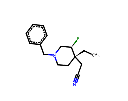 CC[C@@]1(CC#N)CCN(Cc2ccccc2)C[C@H]1F